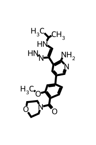 COc1cc(-c2cnc(N)c(/C(=C/NC(C)C)N=N)c2)ccc1C(=O)N1CCOCC1